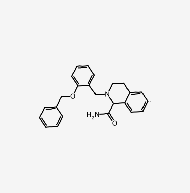 NC(=O)C1c2cc[c]cc2CCN1Cc1ccccc1OCc1ccccc1